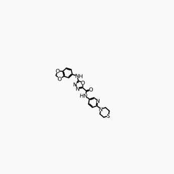 O=C(Nc1ccc(N2CCSCC2)nc1)c1nnc(Nc2ccc3c(c2)OCO3)o1